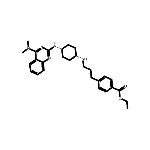 CCOC(=O)c1ccc(CCCN[C@H]2CC[C@@H](Nc3nc(N(C)C)c4ccccc4n3)CC2)cc1